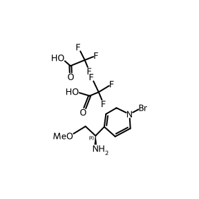 COC[C@H](N)C1=CCN(Br)C=C1.O=C(O)C(F)(F)F.O=C(O)C(F)(F)F